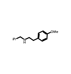 COc1ccc(CCNCC(C)C)cc1